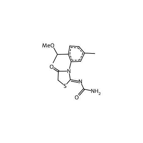 COC(C)c1ccc(C)cc1N1C(=O)CSC1=NC(N)=O